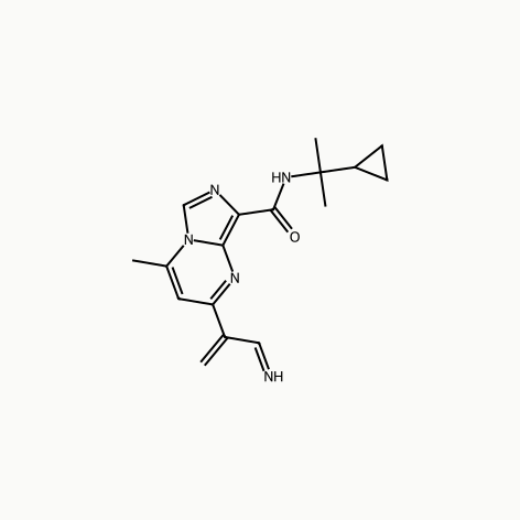 C=C(C=N)c1cc(C)n2cnc(C(=O)NC(C)(C)C3CC3)c2n1